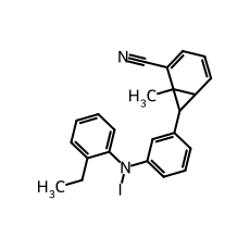 CCc1ccccc1N(I)c1cccc(C2C3C=CC=C(C#N)C32C)c1